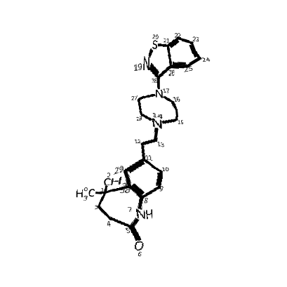 CC1(C)CCC(=O)Nc2ccc(CCN3CCN(c4nsc5ccccc45)CC3)cc21